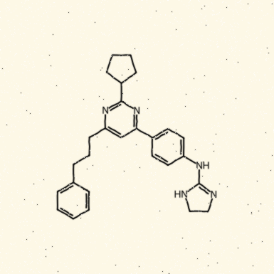 c1ccc(CCCc2cc(-c3ccc(NC4=NCCN4)cc3)nc(C3CCCC3)n2)cc1